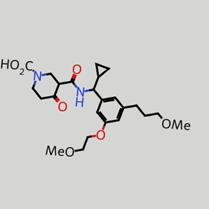 COCCCc1cc(OCCOC)cc(C(NC(=O)C2CN(C(=O)O)CCC2=O)C2CC2)c1